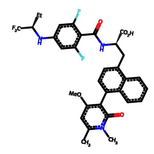 CC[C@@H](Nc1cc(F)c(C(=O)N[C@@H](Cc2ccc(-c3c(OC)cc(C)n(C)c3=O)c3ccccc23)C(=O)O)c(F)c1)C(F)(F)F